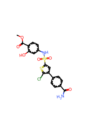 COC(=O)c1ccc(NS(=O)(=O)c2cc(-c3ccc(C(N)=O)cc3)c(Cl)s2)cc1O